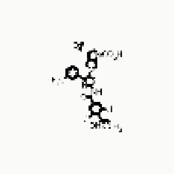 C1CO1.CC=C(C=O)c1c(Cl)cc(C(=O)Nc2nc(-c3cccc(C(F)(F)F)c3)c(N3CC4CCN(C(=O)O)C4C3)s2)cc1Cl